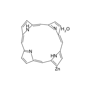 C1=Cc2cc3ccc(cc4nc(cc5ccc(cc1n2)[nH]5)C=C4)[nH]3.O.[Zn]